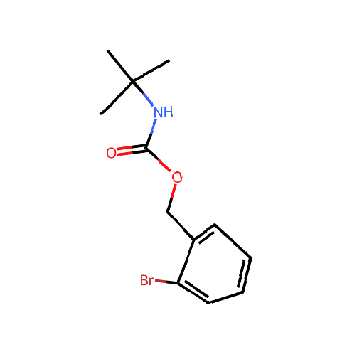 CC(C)(C)NC(=O)OCc1ccccc1Br